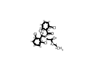 CCOC(=O)CP(C(=O)c1c(Cl)cccc1Cl)C(=O)c1c(Cl)cccc1Cl